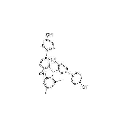 Cc1ccc(C(c2cc(-c3ccc(O)cc3)ccc2O)c2cc(-c3ccc(O)cc3)ccc2O)c(C)c1